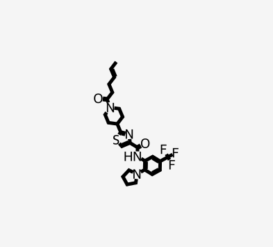 C/C=C/CCC(=O)N1CCC(c2nc(C(=O)Nc3cc(C(F)(F)F)ccc3N3CCCC3)cs2)CC1